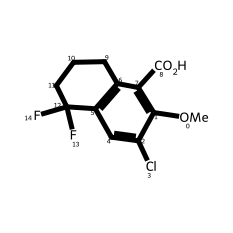 COc1c(Cl)cc2c(c1C(=O)O)CCCC2(F)F